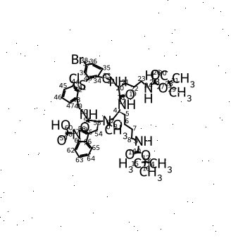 CN1C(=O)[C@H](CCCCNC(=O)OC(C)(C)C)NC(=O)[C@H](CCCNC(=O)OC(C)(C)C)NCc2ccc(Br)cc2Sc2c(Cl)cccc2CNC(=O)[C@@H]1Cc1cn(C(=O)O)c2ccccc12